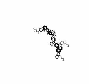 CCOc1ccc2c(c1)CCN(CC)[C@]21CC[C@@H](C(=O)N2CCN(c3ncnc4c3cnn4Cc3cccc(CC)n3)CC2)CC1